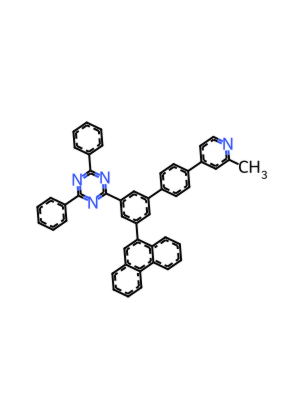 Cc1cc(-c2ccc(-c3cc(-c4nc(-c5ccccc5)nc(-c5ccccc5)n4)cc(-c4cc5ccccc5c5ccccc45)c3)cc2)ccn1